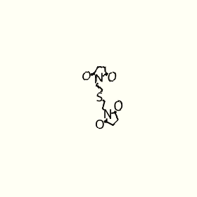 O=C1CCC(=O)N1CCSCCN1C(=O)CCC1=O